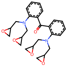 O=C(c1ccccc1N(CC1CO1)CC1CO1)c1ccccc1N(CC1CO1)CC1CO1